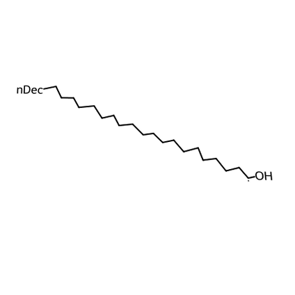 CCCCCCCCCCCCCCCCCCCCCCCCCCCCC[CH]O